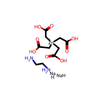 NCCN.O=C(O)[CH2][Zn]([CH2]C(=O)O)([CH2]C(=O)O)[CH2]C(=O)O.[NaH].[NaH]